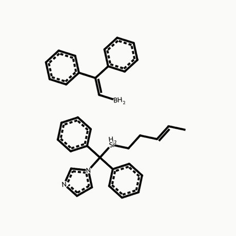 BC=C(c1ccccc1)c1ccccc1.CC=CCC[SiH2]C(c1ccccc1)(c1ccccc1)n1ccnc1